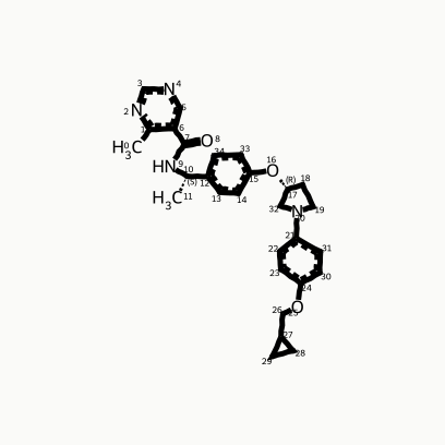 Cc1ncncc1C(=O)N[C@@H](C)c1ccc(O[C@@H]2CCN(c3ccc(OCC4CC4)cc3)C2)cc1